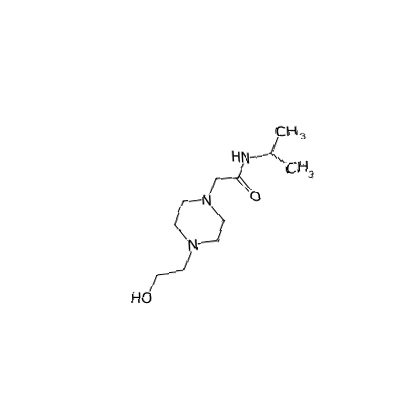 CC(C)NC(=O)CN1CCN(CCO)CC1